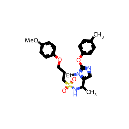 CCn1c(C(C)NS(=O)(=O)CCCOc2ccc(OC)cc2)cnc1Oc1ccc(C)cc1